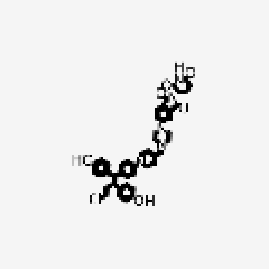 O=C1CCC(N2C(=O)c3ccc(N4CCN(CC5CCN(c6ccc(C(=C(CCCl)c7ccc(O)cc7)c7ccc(O)cc7)cc6)CC5)CC4)cc3C2=O)C(=O)N1